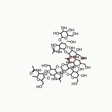 CC(=O)NC1C(O)[C@H](O[C@@H]2OC(CO)[C@H](O)[C@H](O)C2O)[C@H](CO)O[C@H]1OC1[C@@H](OCC2O[C@@H](O[C@@H]3C(CO)O[C@@H](O[C@@H]4C(CO)OC(C)C(NC(C)=O)[C@H]4O)C(NC(C)=O)[C@H]3O)C(O)[C@@H](O[C@H]3O[C@H](CO)[C@@H](O)C(O)C3O[C@@H]3OC(CO)[C@@H](O)[C@H](O)C3NC(C)=O)[C@@H]2O)OC(CO)[C@@H](O)[C@@H]1O